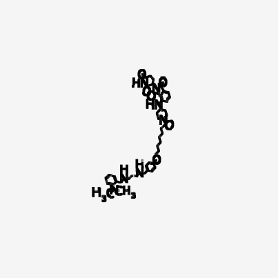 CN(C)c1ccccc1CNCCCNCc1ccc(OCCCCCCCC(=O)N2CCC(Nc3cccc4c3C(=O)N(C3CCC(=O)NC3=O)C4=O)CC2)cc1